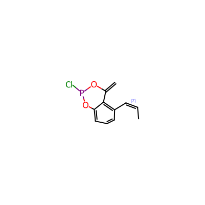 C=C1OP(Cl)Oc2cccc(/C=C\C)c21